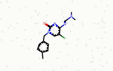 Cc1ccc(Cn2cc(F)c(/N=C/N(C)C)nc2=O)cc1